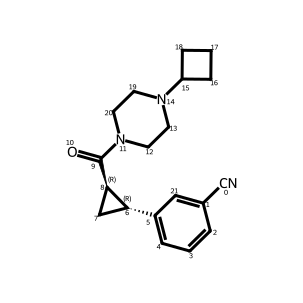 N#Cc1cccc([C@@H]2C[C@H]2C(=O)N2CCN(C3CCC3)CC2)c1